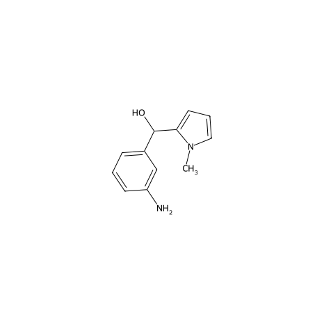 Cn1cccc1C(O)c1cccc(N)c1